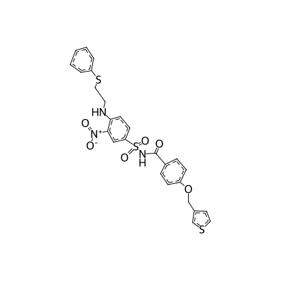 O=C(NS(=O)(=O)c1ccc(NCCSc2ccccc2)c([N+](=O)[O-])c1)c1ccc(OCc2ccsc2)cc1